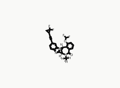 [2H]C([2H])([2H])N1C(=O)c2cccc(OC(F)F)c2[C@H]2C[C@@H]1c1nc3ccc(C#CC4CC4(F)F)cc3n12